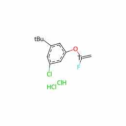 Cl.Cl.[CH2]=[Ti]([F])[O]c1cc(Cl)cc(C(C)(C)C)c1